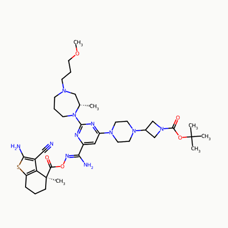 COCCCN1CCCN(c2nc(/C(N)=N/OC(=O)[C@@]3(C)CCCc4sc(N)c(C#N)c43)cc(N3CCN(C4CN(C(=O)OC(C)(C)C)C4)CC3)n2)[C@@H](C)C1